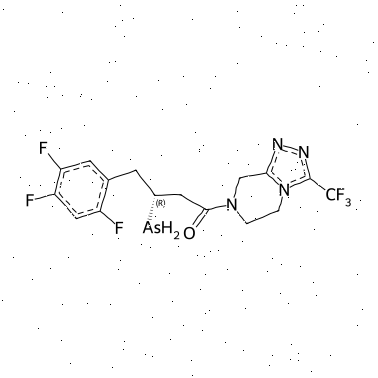 O=C(C[C@H]([AsH2])Cc1cc(F)c(F)cc1F)N1CCn2c(nnc2C(F)(F)F)C1